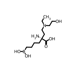 CCN(CCO)CC[C@](N)(CCCCB(O)O)C(=O)O